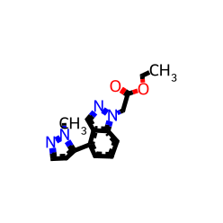 CCOC(=O)Cn1ncc2c(-c3ccnn3C)cccc21